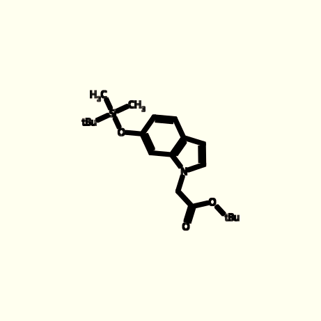 CC(C)(C)OC(=O)Cn1ccc2ccc(O[Si](C)(C)C(C)(C)C)cc21